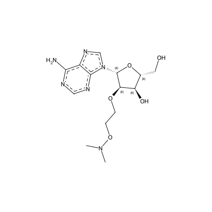 CN(C)OCCO[C@@H]1[C@H](O)[C@@H](CO)O[C@H]1n1cnc2c(N)ncnc21